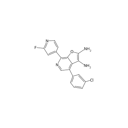 Nc1oc2c(-c3ccnc(F)c3)ncc(-c3cccc(Cl)c3)c2c1N